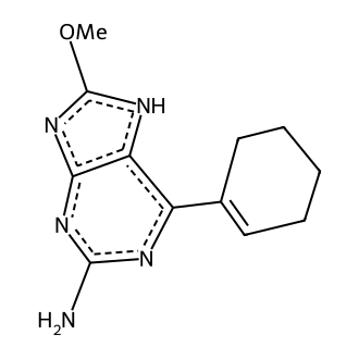 COc1nc2nc(N)nc(C3=CCCCC3)c2[nH]1